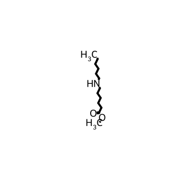 CCCCCCNCCCCCC(=O)OC